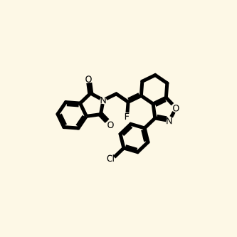 O=C1c2ccccc2C(=O)N1CC(F)=C1CCCc2onc(-c3ccc(Cl)cc3)c21